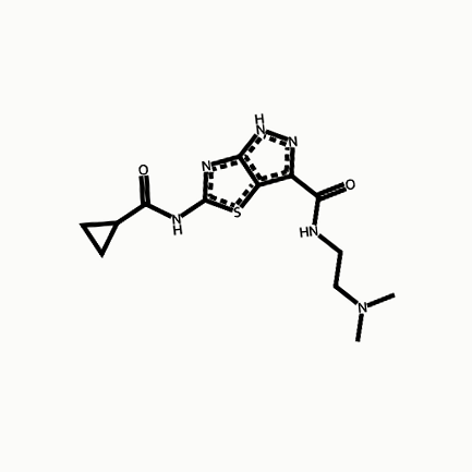 CN(C)CCNC(=O)c1n[nH]c2nc(NC(=O)C3CC3)sc12